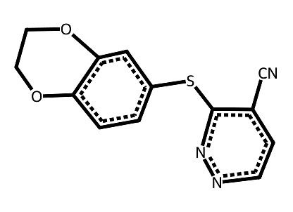 N#Cc1ccnnc1Sc1ccc2c(c1)OCCO2